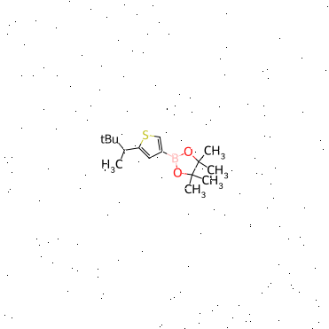 C[C](c1cc(B2OC(C)(C)C(C)(C)O2)cs1)C(C)(C)C